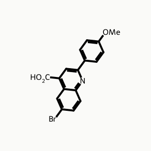 COc1ccc(-c2cc(C(=O)O)c3cc(Br)ccc3n2)cc1